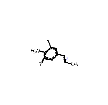 Cc1cc(/C=C/C#N)cc(F)c1N